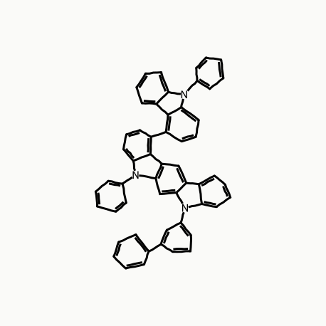 c1ccc(-c2cccc(-n3c4ccccc4c4cc5c6c(-c7cccc8c7c7ccccc7n8-c7ccccc7)cccc6n(-c6ccccc6)c5cc43)c2)cc1